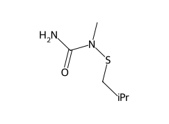 CC(C)CSN(C)C(N)=O